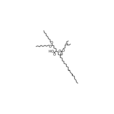 CCCCCC=CCC=CCCCCCCCCC(CCC(CCCC(OCCCCCCCC)OCCCCCCCC)C(=O)O)OC(=O)OCCCN(CC)CC